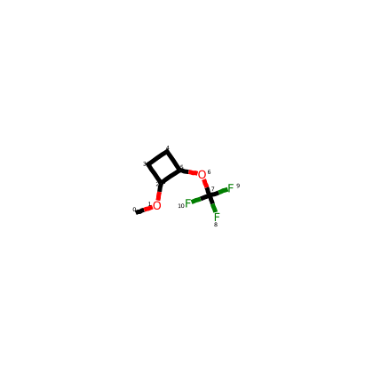 CO[C]1CCC1OC(F)(F)F